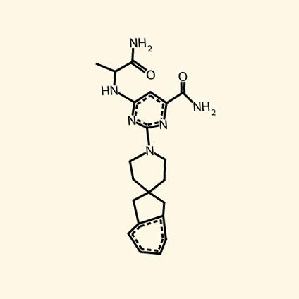 CC(Nc1cc(C(N)=O)nc(N2CCC3(CC2)Cc2ccccc2C3)n1)C(N)=O